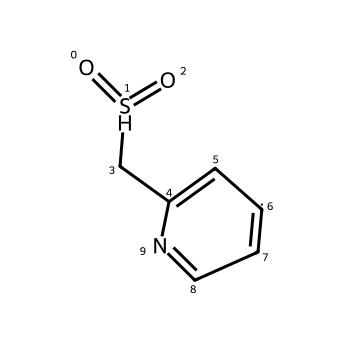 O=[SH](=O)Cc1c[c]ccn1